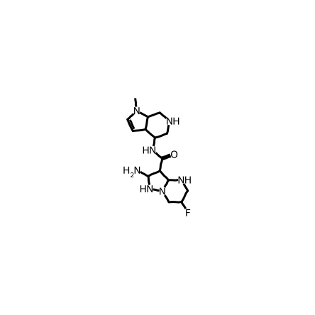 CN1C=CC2C(NC(=O)C3C(N)NN4CC(F)CNC34)CNCC21